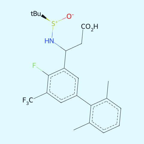 Cc1cccc(C)c1-c1cc(C(CC(=O)O)N[S@+]([O-])C(C)(C)C)c(F)c(C(F)(F)F)c1